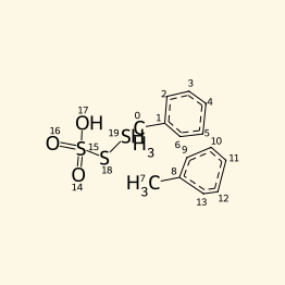 Cc1ccccc1.Cc1ccccc1.O=S(=O)(O)SS